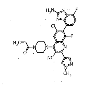 C=CC(=O)N1CCN(c2c(C#N)c(-c3cnn(C)c3)nc3c(F)c(-c4ccc(F)c5sc(N)nc45)c(Cl)cc23)CC1